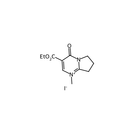 CCOC(=O)c1c[n+](C)c2n(c1=O)CCC2.[I-]